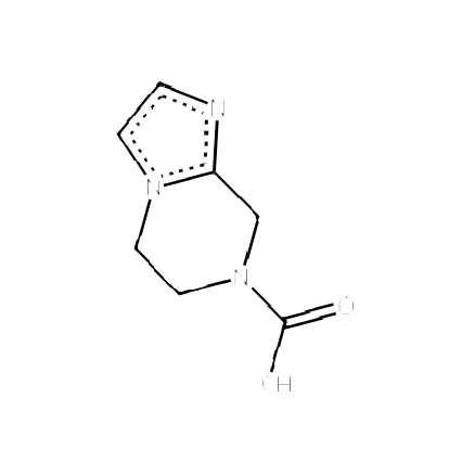 CC(=O)N1CCn2c[c]nc2C1